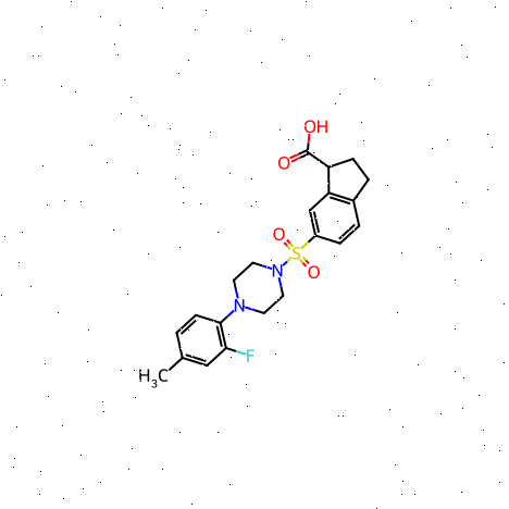 Cc1ccc(N2CCN(S(=O)(=O)c3ccc4c(c3)C(C(=O)O)CC4)CC2)c(F)c1